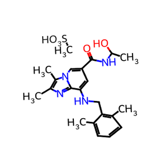 CS(=O)(=O)O.Cc1cccc(C)c1CNc1cc(C(=O)NC(C)O)cn2c(C)c(C)nc12